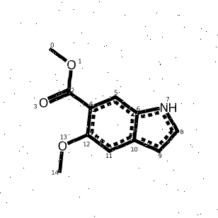 COC(=O)c1cc2[nH]ccc2cc1OC